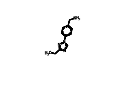 CCc1ncn(-c2ccc(CN)cc2)n1